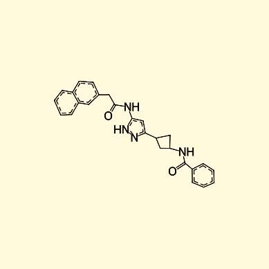 O=C(Cc1ccc2ccccc2c1)Nc1cc(C2CC(NC(=O)c3ccccc3)C2)n[nH]1